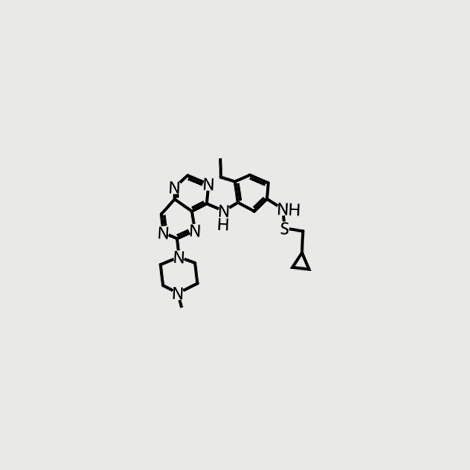 CCc1ccc(NSCC2CC2)cc1Nc1ncnc2cnc(N3CCN(C)CC3)nc12